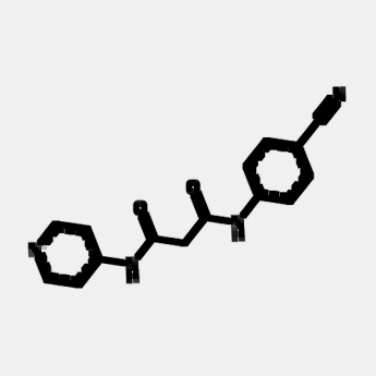 N#Cc1ccc(NC(=O)CC(=O)Nc2ccncc2)cc1